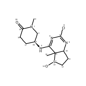 CN1C[C@@H](NC2=NC(Cl)=NC3CC[S+]([O-])C23C)CCC1=O